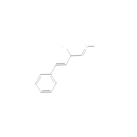 ON=CC(Br)/C=C/c1ccccc1